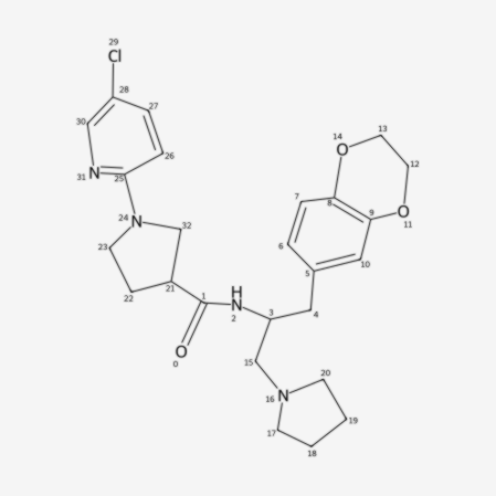 O=C(NC(Cc1ccc2c(c1)OCCO2)CN1CCCC1)C1CCN(c2ccc(Cl)cn2)C1